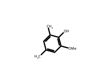 COc1cc(C)cc(C)c1O